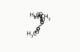 CCOc1ccc(CCc2ccc3oc(C(C)NC(C)=O)cc3c2)cc1